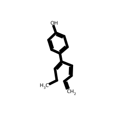 C=C/C=C\C(=C/CC)c1ccc(O)cc1